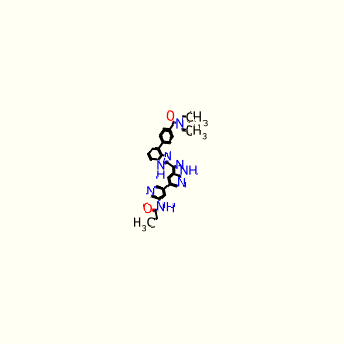 CCC(=O)Nc1cncc(-c2cnc3[nH]nc(-c4nc5c(-c6ccc(C(=O)N(CC)CC)cc6)cccc5[nH]4)c3c2)c1